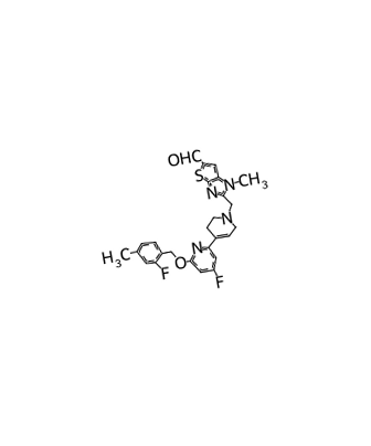 Cc1ccc(COc2cc(F)cc(C3=CCN(Cc4nc5sc(C=O)cc5n4C)CC3)n2)c(F)c1